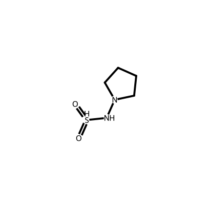 O=[SH](=O)NN1CCCC1